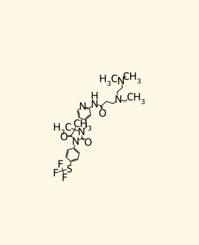 CCN(CCC(=O)Nc1cc(CN2C(=O)N(c3ccc(SC(F)(F)F)cc3)C(=O)C2(C)C)ccn1)CCN(C)C